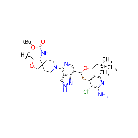 CC1OCC2(CCN(c3ncc(C(OCC[Si](C)(C)C)Sc4ccnc(N)c4Cl)c4n[nH]cc34)CC2)C1NC(=O)OC(C)(C)C